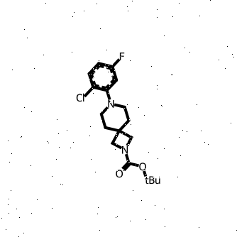 CC(C)(C)OC(=O)N1CC2(CCN(c3cc(F)ccc3Cl)CC2)C1